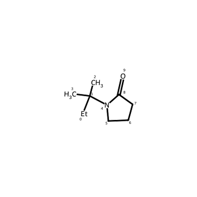 CCC(C)(C)N1CCCC1=O